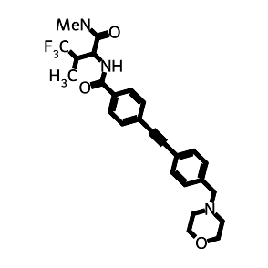 CNC(=O)C(NC(=O)c1ccc(C#Cc2ccc(CN3CCOCC3)cc2)cc1)C(C)C(F)(F)F